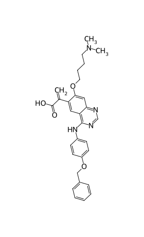 C=C(C(=O)O)c1cc2c(Nc3ccc(OCc4ccccc4)cc3)ncnc2cc1OCCCCN(C)C